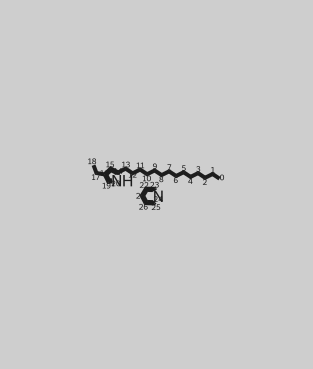 CCCCCCCCCCCCCCc1cc(CC)c[nH]1.c1ccncc1